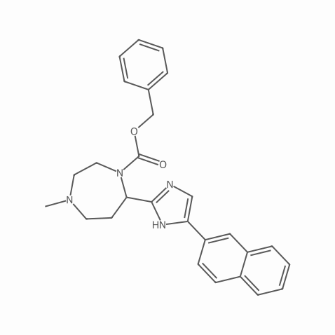 CN1CCC(c2ncc(-c3ccc4ccccc4c3)[nH]2)N(C(=O)OCc2ccccc2)CC1